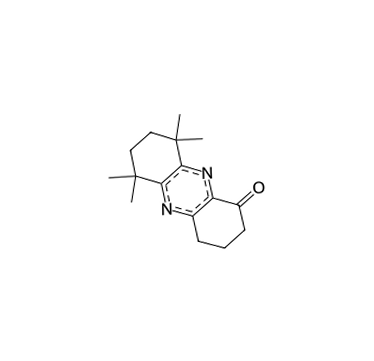 CC1(C)CCC(C)(C)c2nc3c(nc21)CCCC3=O